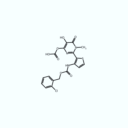 Cn1c(-c2sccc2NC(=O)OCc2ccccc2Cl)nc(OC(=O)O)c(O)c1=O